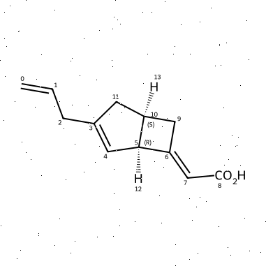 C=CCC1=C[C@@H]2C(=CC(=O)O)C[C@@H]2C1